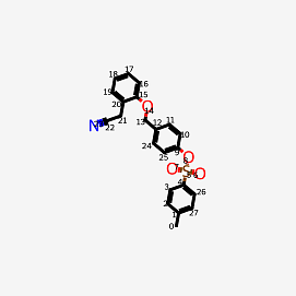 Cc1ccc(S(=O)(=O)Oc2ccc(COc3ccccc3CC#N)cc2)cc1